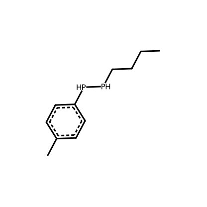 CCCCPPc1ccc(C)cc1